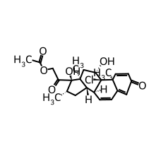 CC(=O)OCC(=O)[C@@]1(O)[C@@H](C)C[C@H]2[C@@H]3C=CC4=CC(=O)C=C[C@]4(C)[C@@]3(Cl)[C@@H](O)C[C@@]21C